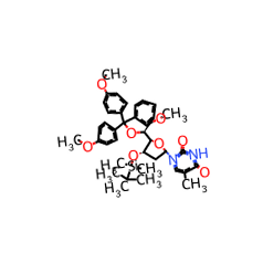 COC[C@H](OC(c1ccccc1)(c1ccc(OC)cc1)c1ccc(OC)cc1)[C@H]1O[C@@H](n2cc(C)c(=O)[nH]c2=O)C[C@@H]1O[Si](C)(C)C(C)(C)C